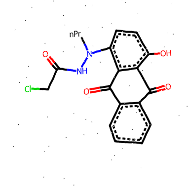 CCCN(NC(=O)CCl)c1ccc(O)c2c1C(=O)c1ccccc1C2=O